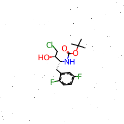 CC(C)(C)OC(=O)N[C@H](Cc1cc(F)ccc1F)[C@@H](O)CCl